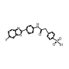 CCS(=O)(=O)c1ccc(CC(=O)Nc2ccc(-c3nc4ccc(F)cc4s3)cc2)cc1